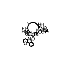 CC[C@@H]1C[C@@H](C)CC/C=C\[C@@H]2C[C@@]2(C(=O)NS(=O)(=O)C2(C)CC2)NC(=O)[C@@H]2C[C@@H](Oc3nc4c(c5ccccc35)OCCC4)CN2C(=O)[C@H]1NC(=O)O